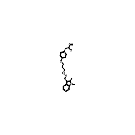 Cc1c(/C=N/OCCCOc2ccc(CC(=O)O)cc2)c2ccccc2n1C